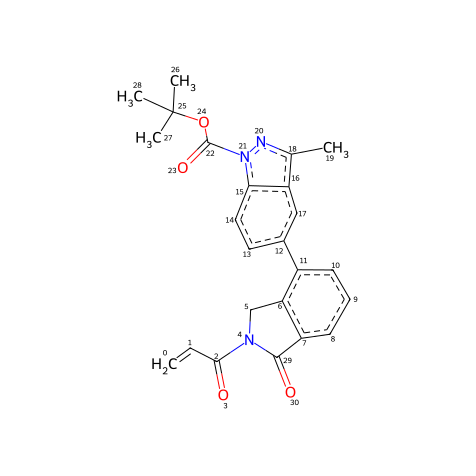 C=CC(=O)N1Cc2c(cccc2-c2ccc3c(c2)c(C)nn3C(=O)OC(C)(C)C)C1=O